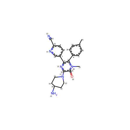 Cc1ccc(-c2c(-c3ccc(C#N)nc3)nc(N3CCC(N)CC3)c(=O)n2C)cc1